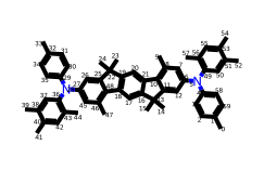 Cc1ccc(N(c2cc(C)c3c(c2)C(C)(C)c2cc4c(cc2-3)C(C)(C)c2cc(N(c3ccc(C)cc3)c3cc(C)c(C)cc3C)cc(C)c2-4)c2cc(C)c(C)cc2C)cc1